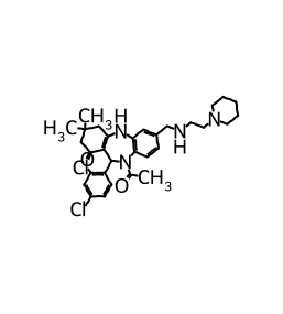 CC(=O)N1c2ccc(CNCCN3CCCCC3)cc2NC2=C(C(=O)CC(C)(C)C2)C1c1ccc(Cl)cc1Cl